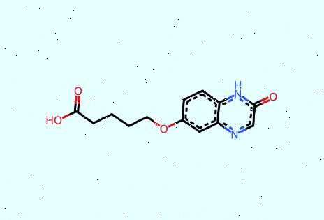 O=C(O)CCCCOc1ccc2[nH]c(=O)cnc2c1